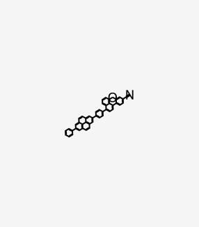 N#Cc1ccc2c(c1)Oc1cccc3c(-c4ccc(-c5cc6ccc7cc(-c8ccccc8)cc8ccc(c5)c6c78)cc4)ccc-2c13